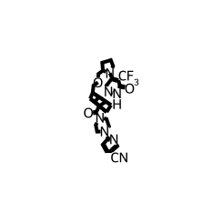 N#Cc1ccc(N2CCN(C(=O)C34C5C6C3C3C4C5C63COCC3CCCN3c3cn[nH]c(=O)c3C(F)(F)F)CC2)nc1